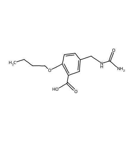 CCCCOc1ccc(CNC(N)=O)cc1C(=O)O